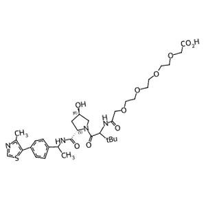 Cc1ncsc1-c1ccc(C(C)NC(=O)[C@@H]2C[C@@H](O)CN2C(=O)C(NC(=O)COCCOCCOCCOCC(=O)O)C(C)(C)C)cc1